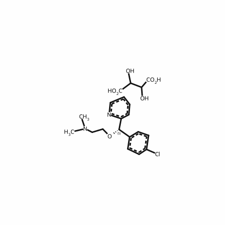 CN(C)CCO[C@@H](c1ccc(Cl)cc1)c1ccccn1.O=C(O)C(O)C(O)C(=O)O